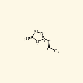 O=c1oc(C=CCl)ns1